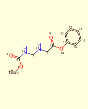 CC(C)(C)OC(=O)NCNCC(=O)Oc1ccccc1